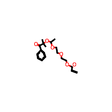 C=CC(=O)OCCOCCOC(C)OC(C)(C)C(=O)c1ccccc1